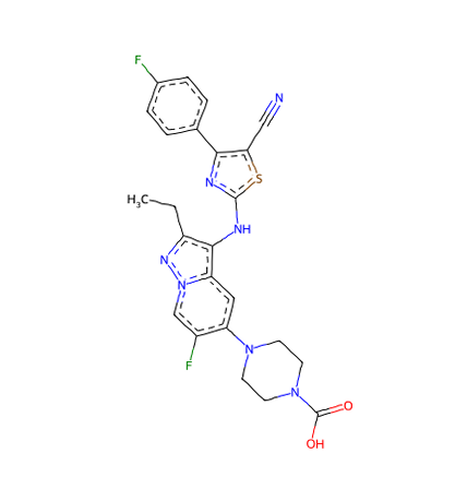 CCc1nn2cc(F)c(N3CCN(C(=O)O)CC3)cc2c1Nc1nc(-c2ccc(F)cc2)c(C#N)s1